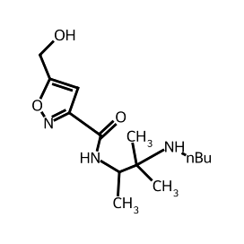 CCCCNC(C)(C)C(C)NC(=O)c1cc(CO)on1